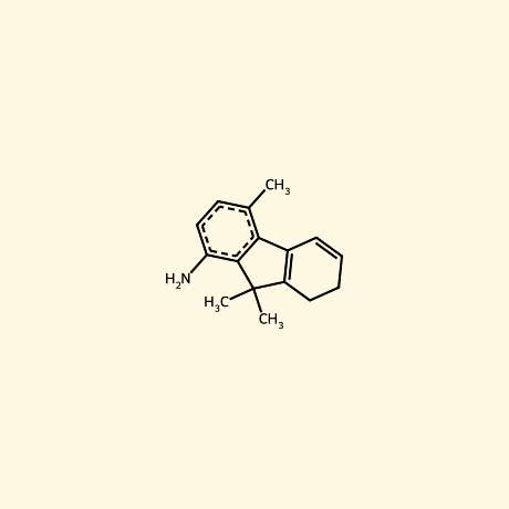 Cc1ccc(N)c2c1C1=C(CCC=C1)C2(C)C